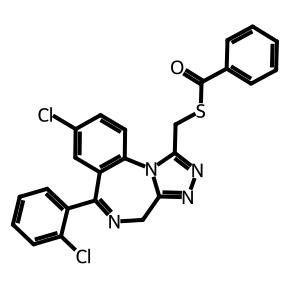 O=C(SCc1nnc2n1-c1ccc(Cl)cc1C(c1ccccc1Cl)=NC2)c1ccccc1